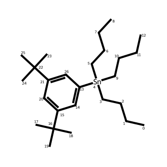 CCC[CH2][Sn]([CH2]CCC)([CH2]CCC)[c]1cc(C(C)(C)C)cc(C(C)(C)C)c1